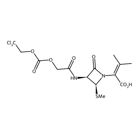 CS[C@H]1[C@@H](NC(=O)COC(=O)OCC(Cl)(Cl)Cl)C(=O)N1C(C(=O)O)=C(C)C